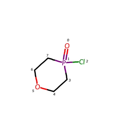 O=P1(Cl)CCOCC1